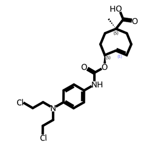 C[C@]1(C(=O)O)CC/C=C/[C@@H](OC(=O)Nc2ccc(N(CCCl)CCCl)cc2)CC1